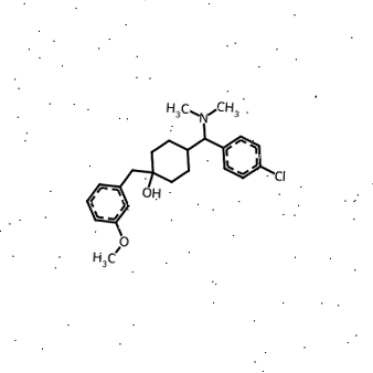 COc1cccc(CC2(O)CCC(C(c3ccc(Cl)cc3)N(C)C)CC2)c1